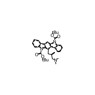 C=C(Cc1c2c3ccccc3n(C(=O)OC(C)(C)C)c2cc2c3ccccc3n(C(=O)OC(C)(C)C)c12)CN(C)C